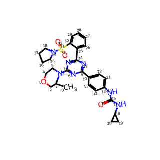 CC1COCCN1c1nc(-c2ccc(NC(=O)NC3CC3)cc2)nc(-c2ccccc2S(=O)(=O)N2CCCC2)n1